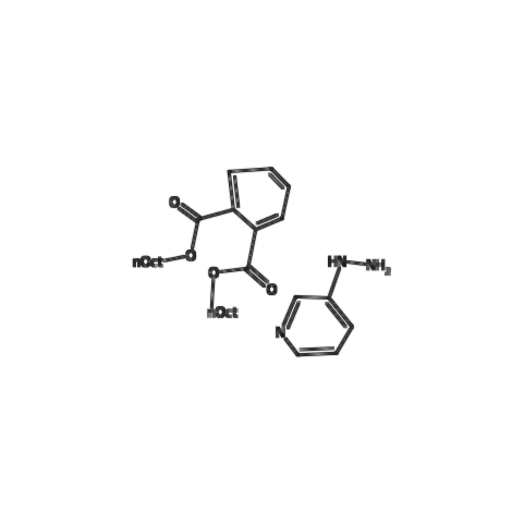 CCCCCCCCOC(=O)c1ccccc1C(=O)OCCCCCCCC.NNc1cccnc1